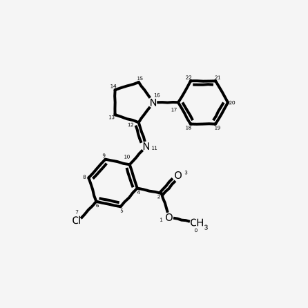 COC(=O)c1cc(Cl)ccc1N=C1CCCN1c1ccccc1